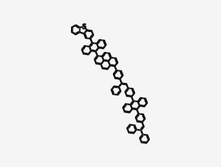 C(=C(c1ccccc1)c1ccccc1)c1ccc(-c2c3ccccc3c(-c3ccc(/C=C(\c4ccccc4)c4ccc(-c5ccc6ccc7c(-c8c9ccccc9c(-c9ccc%10sc%11ccccc%11c%10c9)c9ccccc89)ccc8ccc5c6c87)cc4)cc3)c3ccccc23)cc1